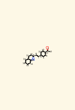 CC(=O)c1ccc(C=Cc2ccc3ccccc3n2)cc1